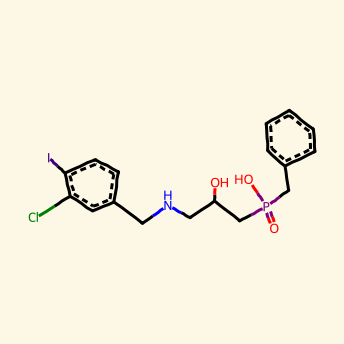 O=P(O)(Cc1ccccc1)CC(O)CNCc1ccc(I)c(Cl)c1